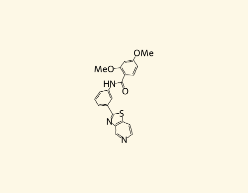 COc1ccc(C(=O)Nc2cccc(-c3nc4cnccc4s3)c2)c(OC)c1